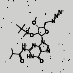 CO[C@H]1C(O[Si](C)(C)C(C)(C)C)[C@H](n2cnc3c(=O)[nH]c(NC(=O)C(C)C)nc32)O[C@@H]1CN=[N+]=[N-]